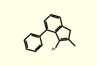 CC1=C(C(C)C)c2c(cccc2-c2ccccc2)[CH]1